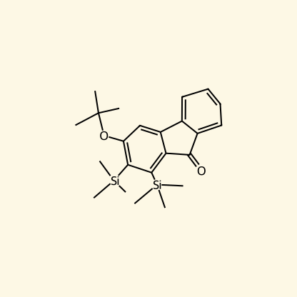 CC(C)(C)Oc1cc2c(c([Si](C)(C)C)c1[Si](C)(C)C)C(=O)c1ccccc1-2